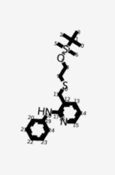 CC(C)(C)[Si](C)(C)OCCSCc1cccnc1Nc1ccccc1